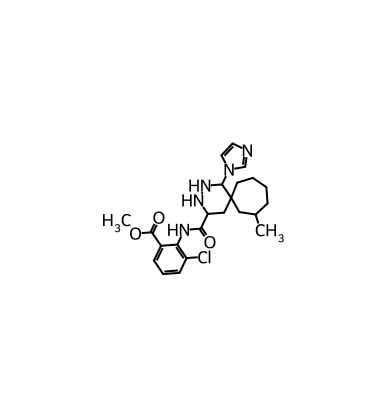 COC(=O)c1cccc(Cl)c1NC(=O)C1CC2(CCCCC(C)C2)C(n2ccnc2)NN1